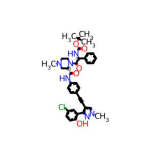 CN1CCN(C(=O)[C@@H](NC(=O)OC(C)(C)C)c2ccccc2)[C@H](C(=O)Nc2ccc(C#Cc3cn(C)nc3-c3cc(Cl)ccc3O)cc2)C1